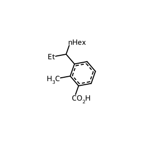 CCCCCCC(CC)c1cccc(C(=O)O)c1C